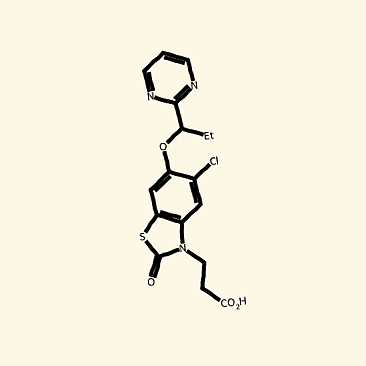 CCC(Oc1cc2sc(=O)n(CCC(=O)O)c2cc1Cl)c1ncccn1